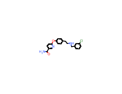 NC(=O)c1ccc(Oc2ccc(CCNCc3cccc(Cl)c3)cc2)nc1